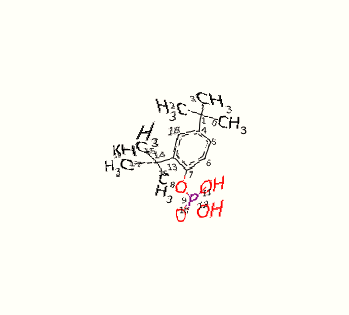 CC(C)(C)c1ccc(OP(=O)(O)O)c(C(C)(C)C)c1.[KH]